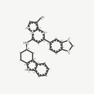 CC(C)c1cnn2c(N[C@@H]3CCc4[nH]c5ccccc5c4C3)cc(-c3ccc4c(c3)OCO4)nc12